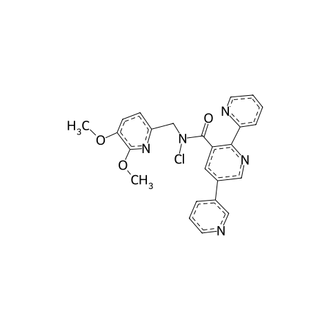 COc1ccc(CN(Cl)C(=O)c2cc(-c3cccnc3)cnc2-c2ccccn2)nc1OC